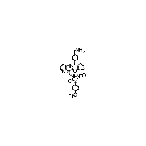 CCOc1ccc([C@@H](CNC(=O)c2ccccc2)C(=O)NC[C@H](C(=O)NCc2ccc(CN)cc2)c2ccccn2)cc1